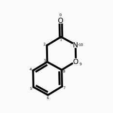 O=C1Cc2ccccc2O[N]1